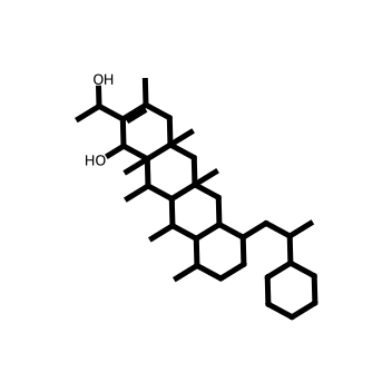 CC1=C(C(C)O)C(O)C2(C)C(C)C3C(C)C4C(C)CCC(CC(C)C5CCCCC5)C4CC3(C)CC2(C)C1